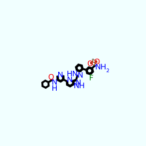 CS(=O)(=O)C(N)c1cc(F)cc(-c2cccc3[nH]c(-c4n[nH]c5ccc(-c6cncc(NC(=O)C7CCCCC7)c6)nc45)nc23)c1